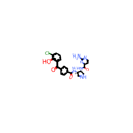 Nc1nccc(C(=O)N[C@@H]2CNC[C@H]2NC(=O)c2ccc(C(=O)c3cccc(Cl)c3O)cc2)n1